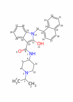 CC(C)N1CCC(NC(=O)c2c(O)n(Cc3cccc4ccccc34)c3ccccc23)CC1